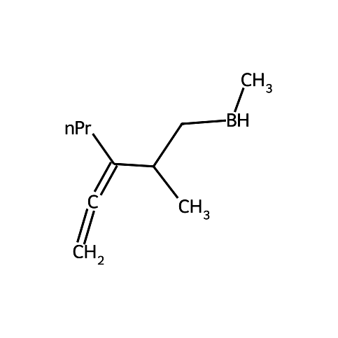 C=C=C(CCC)C(C)CBC